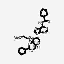 COCCO[C@@H]1[C@@H]2OC(c3ccccc3)OC[C@H]2OC[C@H]1n1cnc2c(NC(=O)c3ccccc3)ncnc21